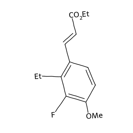 CCOC(=O)/C=C/c1ccc(OC)c(F)c1CC